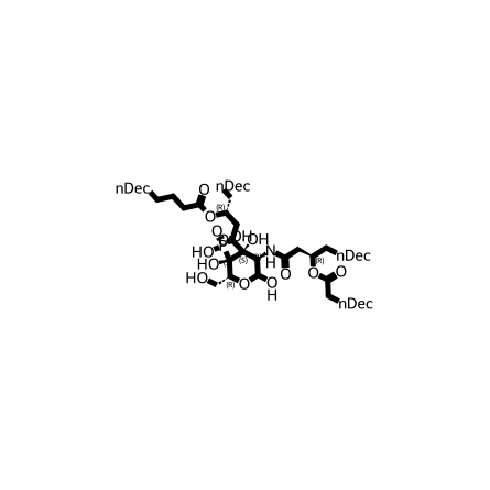 CCCCCCCCCCCCCC(=O)O[C@H](CCCCCCCCCCC)CC(=O)[C@@]1(O)[C@@H](NC(=O)C[C@@H](CCCCCCCCCCC)OC(=O)CCCCCCCCCCC)C(O)O[C@H](CO)[C@]1(O)P(=O)(O)O